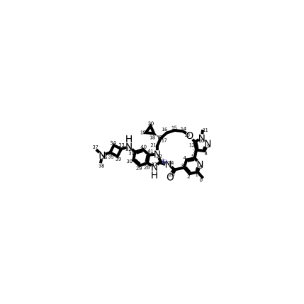 Cc1cc2cc(n1)-c1cnn(C)c1OCCC[C@@H](C1CC1)CN1/C(=N/C2=O)Nc2ccc(NC3CC(N(C)C)C3)cc21